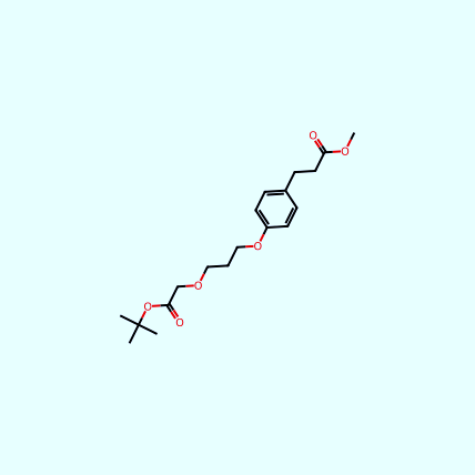 COC(=O)CCc1ccc(OCCCOCC(=O)OC(C)(C)C)cc1